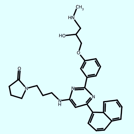 CNCC(O)COc1cccc(-c2nc(NCCCN3CCCC3=O)cc(-c3cccc4ccccc34)n2)c1